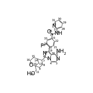 Nc1nccn2c(C3CCC4(CO)CC3CCO4)nc(-c3ccc(C(=O)Nc4ccccn4)cc3F)c12